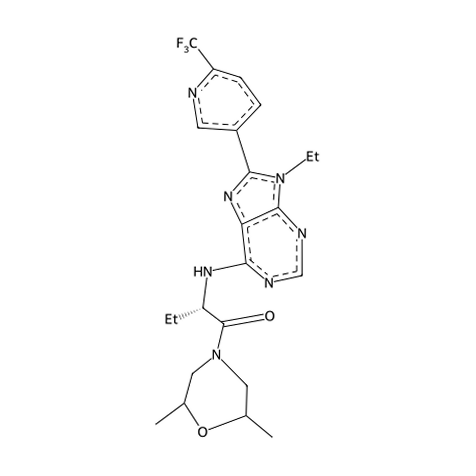 CC[C@H](Nc1ncnc2c1nc(-c1ccc(C(F)(F)F)nc1)n2CC)C(=O)N1CC(C)OC(C)C1